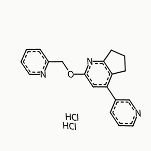 Cl.Cl.c1ccc(COc2cc(-c3cccnc3)c3c(n2)CCC3)nc1